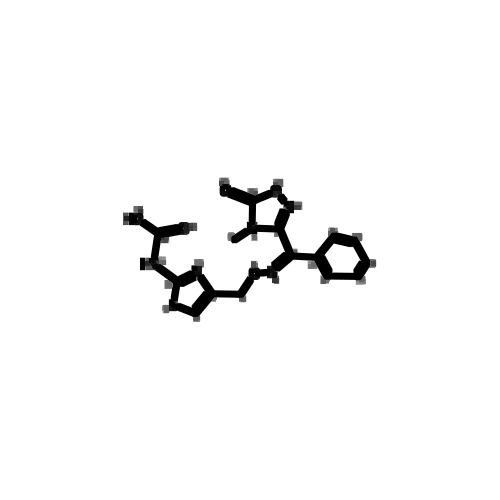 Cn1c(C(=NOCc2csc(NC(=O)O)n2)c2ccccc2)noc1=O